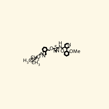 COc1ccccc1-c1cnccc1C(=O)Nc1nnc(OCc2cccc3c2cnn3COCC[Si](C)(C)C)s1